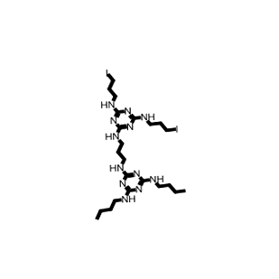 CCCCNc1nc(NCCCC)nc(NCCCNc2nc(NCCCI)nc(NCCCI)n2)n1